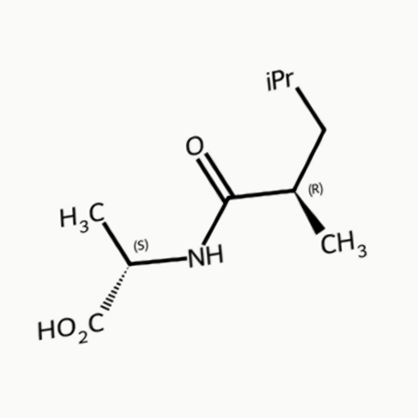 CC(C)C[C@@H](C)C(=O)N[C@@H](C)C(=O)O